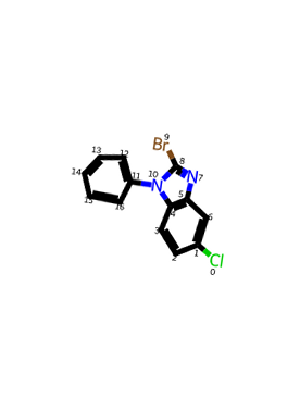 Clc1ccc2c(c1)nc(Br)n2-c1ccccc1